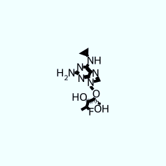 CC(F)[C@@H](O)[C@@H](CO)OCn1cnc2c(NC3CC3)nc(N)nc21